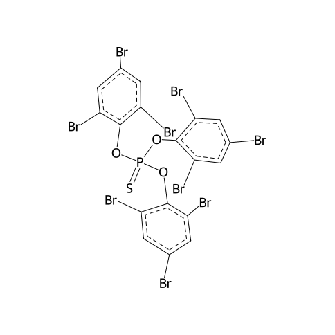 S=P(Oc1c(Br)cc(Br)cc1Br)(Oc1c(Br)cc(Br)cc1Br)Oc1c(Br)cc(Br)cc1Br